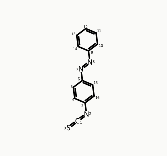 S=C=Nc1ccc(N=Nc2ccccc2)cc1